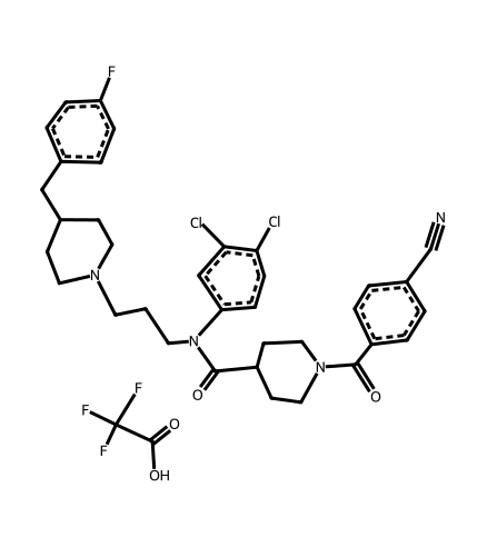 N#Cc1ccc(C(=O)N2CCC(C(=O)N(CCCN3CCC(Cc4ccc(F)cc4)CC3)c3ccc(Cl)c(Cl)c3)CC2)cc1.O=C(O)C(F)(F)F